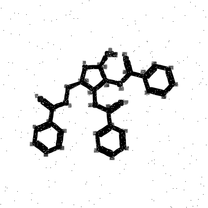 CC(=O)O[C@@H]1O[C@H](COC(=O)c2ccccc2)C(OC(=O)c2ccccc2)C1OC(=O)c1ccccc1